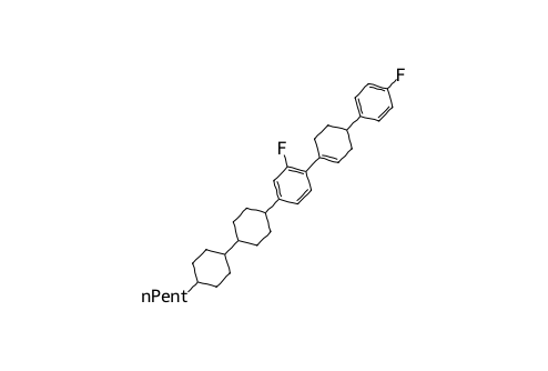 CCCCCC1CCC(C2CCC(c3ccc(C4=CCC(c5ccc(F)cc5)CC4)c(F)c3)CC2)CC1